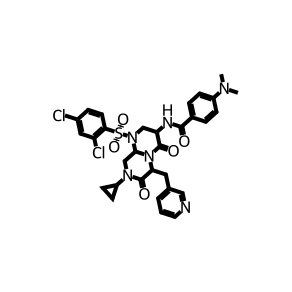 CN(C)c1ccc(C(=O)NC2CN(S(=O)(=O)c3ccc(Cl)cc3Cl)C3CN(C4CC4)C(=O)C(Cc4cccnc4)N3C2=O)cc1